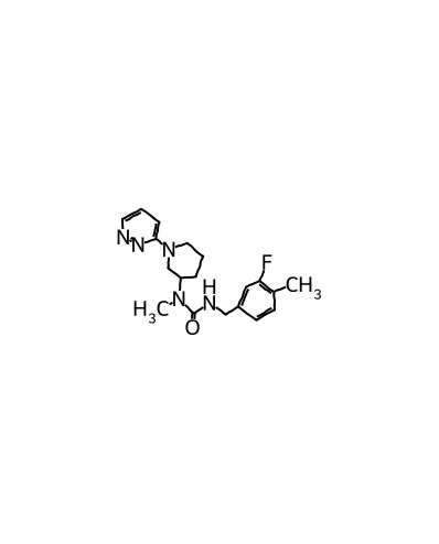 Cc1ccc(CNC(=O)N(C)C2CCCN(c3cccnn3)C2)cc1F